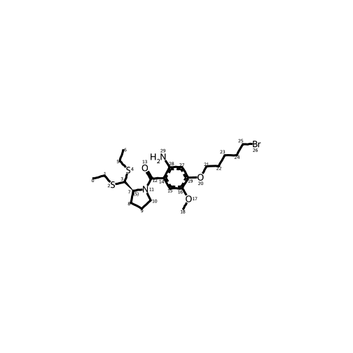 CCSC(SCC)[C@@H]1CCCN1C(=O)c1cc(OC)c(OCCCCCBr)cc1N